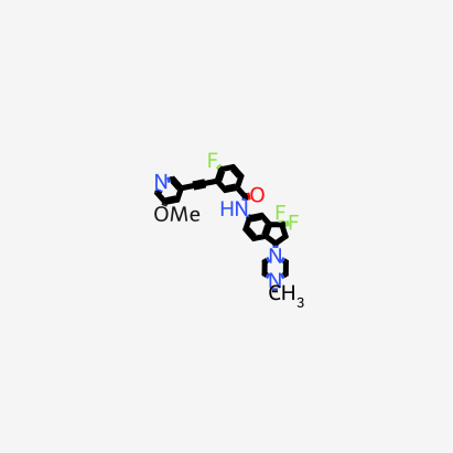 COc1cncc(C#Cc2cc(C(=O)Nc3ccc4c(c3)C(F)(F)CC4N3CCN(C)CC3)ccc2F)c1